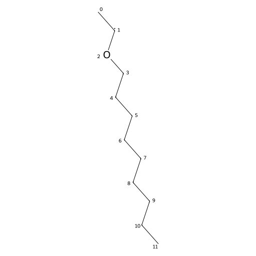 C[CH]OCCCCCCCCC